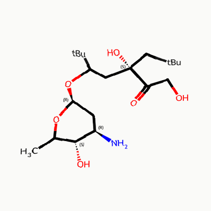 CC1O[C@@H](OC(C[C@@](O)(CC(C)(C)C)C(=O)CO)C(C)(C)C)C[C@@H](N)[C@@H]1O